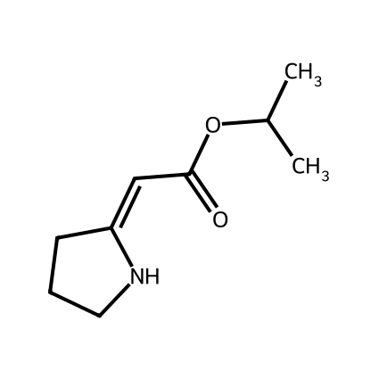 CC(C)OC(=O)C=C1CCCN1